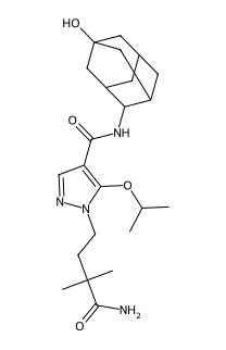 CC(C)Oc1c(C(=O)NC2C3CC4CC2CC(O)(C4)C3)cnn1CCC(C)(C)C(N)=O